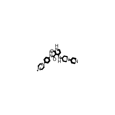 CN1CCN(c2ccc(NC(=O)c3c(NC4CCN(c5ccncc5)CC4)cc[nH]c3=O)cc2)CC1